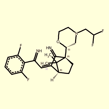 CC1(C)[C@H]2CC[C@]1([C@H]1CN(CC(F)F)CCO1)C(=N)/C2=C\C(=N)c1c(F)cccc1F